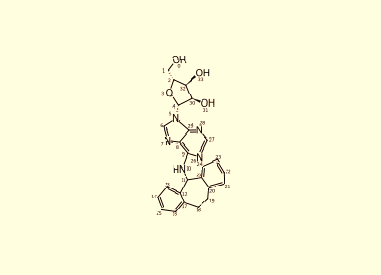 OC[C@H]1O[C@@H](n2cnc3c(NC4c5ccccc5CCc5ccccc54)ncnc32)[C@H](O)[C@@H]1O